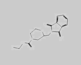 CCOC(=O)N1CCOC(CN2C(=O)c3ccccc3C2=O)C1